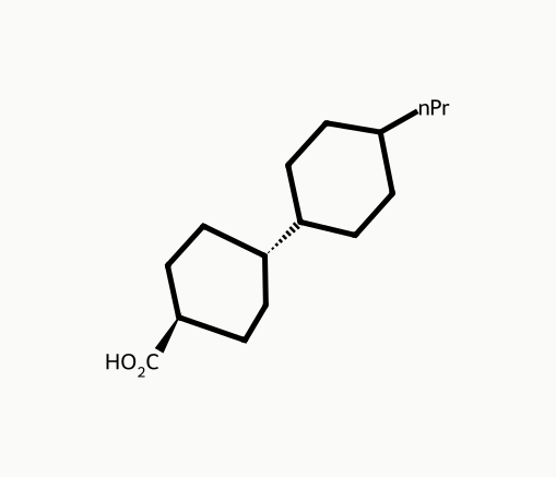 CCCC1CCC([C@H]2CC[C@H](C(=O)O)CC2)CC1